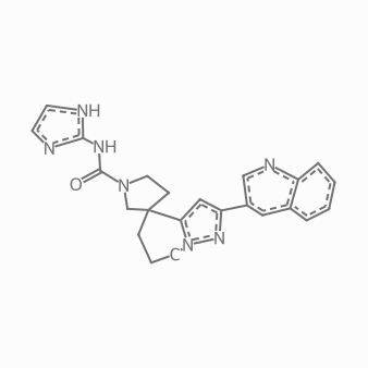 O=C(Nc1ncc[nH]1)N1CCC2(CCCn3nc(-c4cnc5ccccc5c4)cc32)C1